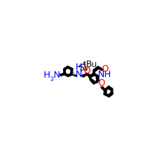 CC(C)(C)[Si](C)(C)OC(CNC[C@@H]1CCCC(CN)C1)c1ccc(OCc2ccccc2)c2[nH]c(=O)ccc12